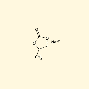 CC1COC(=O)O1.[I-].[Na+]